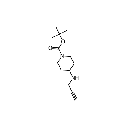 C#CCNC1CCN(C(=O)OC(C)(C)C)CC1